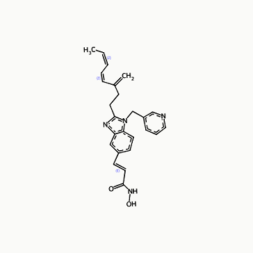 C=C(/C=C\C=C/C)CCc1nc2cc(/C=C/C(=O)NO)ccc2n1Cc1cccnc1